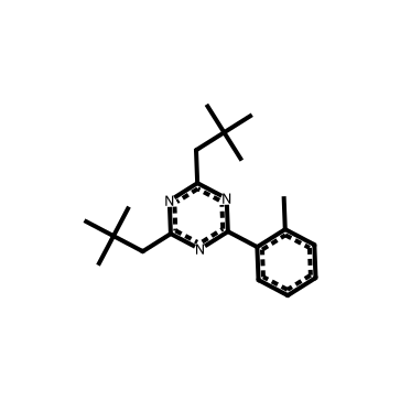 Cc1ccccc1-c1nc(CC(C)(C)C)nc(CC(C)(C)C)n1